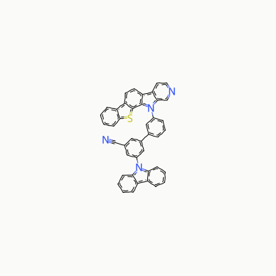 N#Cc1cc(-c2cccc(-n3c4cnccc4c4ccc5c6ccccc6sc5c43)c2)cc(-n2c3ccccc3c3ccccc32)c1